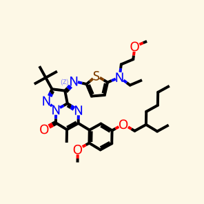 CCCCC(CC)COc1ccc(OC)c(-c2nc3n(c(=O)c2C)N=C(C(C)(C)C)/C3=N/c2ccc(N(CC)CCOC)s2)c1